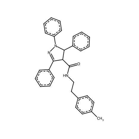 Cc1ccc(CCNC(=O)C2C(c3ccccc3)=NN(c3ccccc3)C2c2ccccc2)cc1